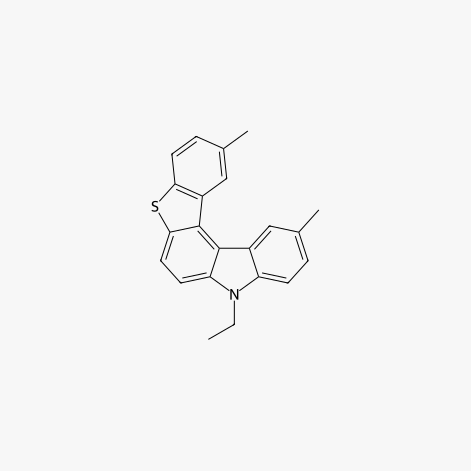 CCn1c2ccc(C)cc2c2c3c(ccc21)sc1ccc(C)cc13